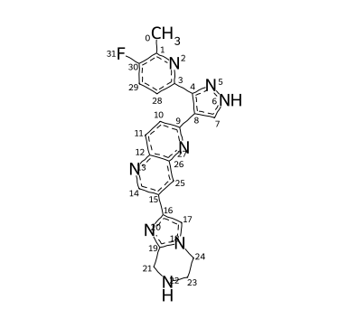 Cc1nc(-c2n[nH]cc2-c2ccc3ncc(-c4cn5c(n4)CNCC5)cc3n2)ccc1F